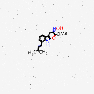 C=C(C)/C=C/c1cccc2c(C/C(=N/O)C(=O)OC)c[nH]c12